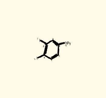 CCCc1ccc(I)c(I)c1